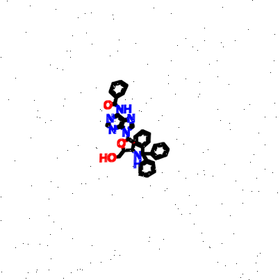 O=C(Nc1ncnc2c1ncn2C1CC(NC(c2ccccc2)(c2ccccc2)c2ccccc2)C(CO)O1)c1ccccc1